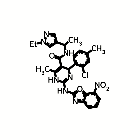 CCn1cc(C(C)NC(=O)C2=C(C)NC(Nc3nc4cccc([N+](=O)[O-])c4o3)=NC2c2ccc(C)cc2Cl)cn1